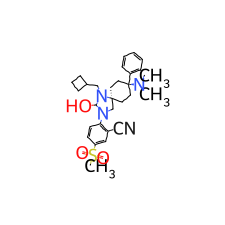 CN(C)[C@]1(c2ccccc2)CC[C@]2(CC1)CN(c1ccc(S(C)(=O)=O)cc1C#N)C(O)N2CC1CCC1